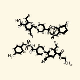 CCOC(=O)c1cc(C#N)c(N2CCC(C(=O)NS(=O)(=O)CC3CCC(C)CC3)CC2)nc1CF.N#Cc1cc(C(=O)O)c(CF)nc1N1CCC(C(=O)NS(=O)(=O)Cc2ccc(Cl)cc2Cl)CC1